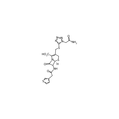 NC(=O)Cn1nnnc1SCC1=C(C(=O)O)N2C(=O)C(NC(=O)Cc3ccsc3)[C@@H]2SC1